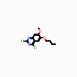 CCCCOc1cc2c(Cl)nc(Cl)nc2cc1OC